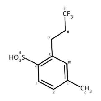 Cc1ccc(S(=O)(=O)O)c(CCC(F)(F)F)c1